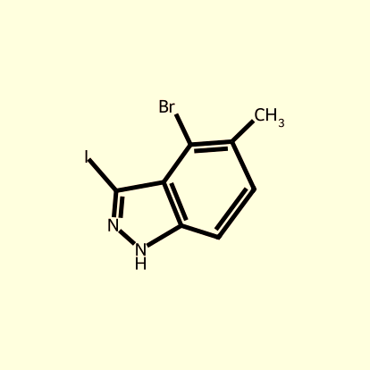 Cc1ccc2[nH]nc(I)c2c1Br